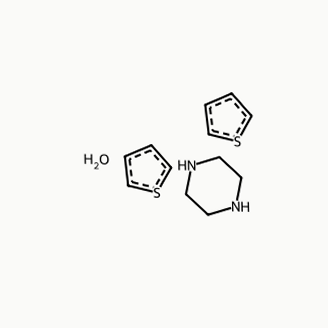 C1CNCCN1.O.c1ccsc1.c1ccsc1